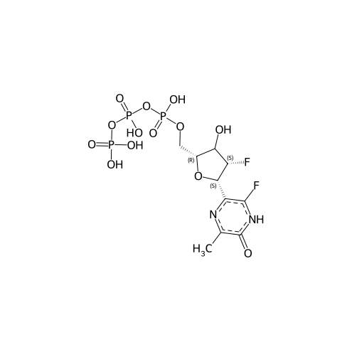 Cc1nc([C@@H]2O[C@H](COP(=O)(O)OP(=O)(O)OP(=O)(O)O)C(O)[C@@H]2F)c(F)[nH]c1=O